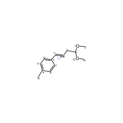 COC(C/N=C/c1ccc(C)cc1)OC